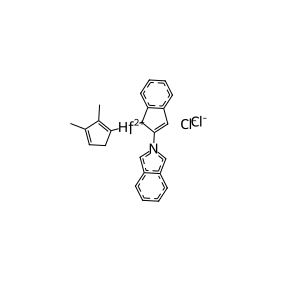 CC1=CC[C]([Hf+2][CH]2C(n3cc4ccccc4c3)=Cc3ccccc32)=C1C.[Cl-].[Cl-]